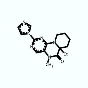 CCC12CCCCN1c1nc(-n3ccnc3)ncc1N(C)C2=O